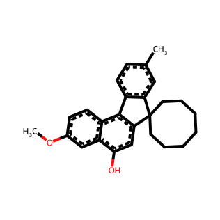 COc1ccc2c3c(cc(O)c2c1)C1(CCCCCCC1)c1cc(C)ccc1-3